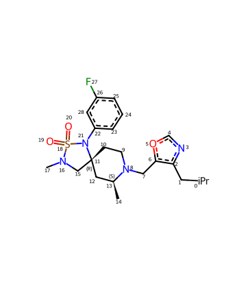 CC(C)Cc1ncoc1CN1CC[C@@]2(C[C@@H]1C)CN(C)S(=O)(=O)N2c1cccc(F)c1